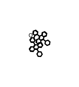 c1cc(-c2c3ccccc3c(C3CCCCC3)c3ccccc23)c2c(c1)oc1ccc(-c3c4ccccc4c(C4CCCCC4)c4ccccc34)cc12